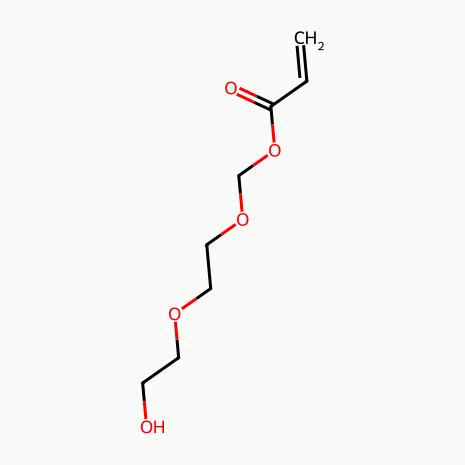 C=CC(=O)OCOCCOCCO